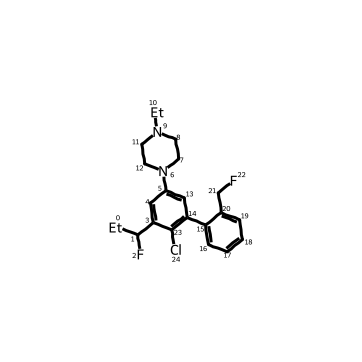 CCC(F)c1cc(N2CCN(CC)CC2)cc(-c2ccccc2CF)c1Cl